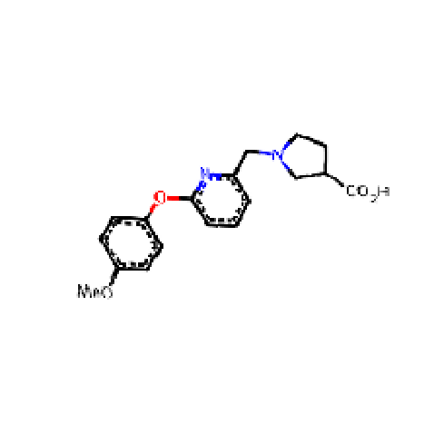 COc1ccc(Oc2cccc(CN3CCC(C(=O)O)C3)n2)cc1